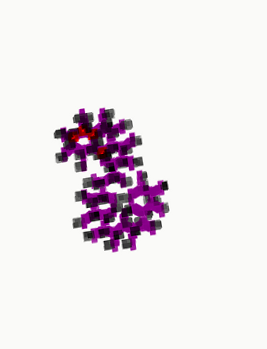 II(I)I(I)I(I)I(I)I(I)I(I)I(I)I(I)I(I)I(I)I(I)I(I)I(I)I(I)I(I)I(I)I(I)I(I)I(I)I(I)I(I)I(I)I(I)I(I)I(I)I(I)I(I)I(I)I(I)I